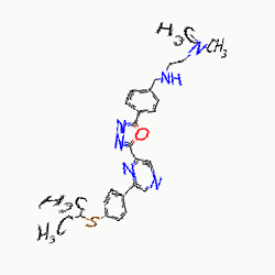 CC(C)Sc1ccc(-c2cncc(-c3nnc(-c4ccc(CNCCN(C)C)cc4)o3)n2)cc1